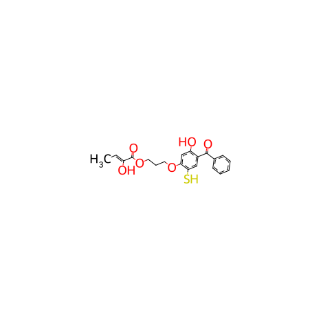 CC=C(O)C(=O)OCCCOc1cc(O)c(C(=O)c2ccccc2)cc1S